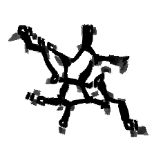 C=CCO[C@]12N(C)C(=O)N(CC)[C@@]1(OCC=C)N(CC)C(=O)N2C